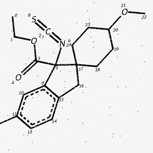 CCOC(=O)C1(N=C=S)c2cc(Br)ccc2CC12CCC(OC)CC2